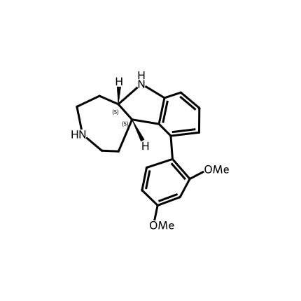 COc1ccc(-c2cccc3c2[C@@H]2CCNCC[C@@H]2N3)c(OC)c1